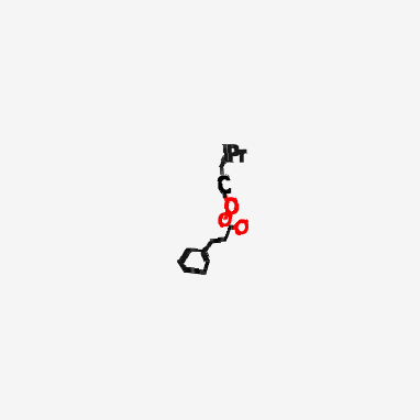 CC(C)CCCOOC(=O)/C=C/c1ccccc1